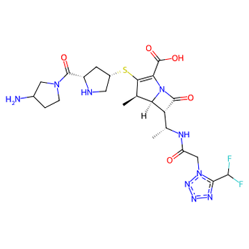 C[C@@H](NC(=O)Cn1nnnc1C(F)F)[C@H]1C(=O)N2C(C(=O)O)=C(S[C@@H]3CN[C@H](C(=O)N4CCC(N)C4)C3)[C@H](C)[C@H]12